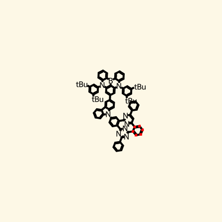 CC(C)(C)c1cc(N2c3ccccc3B3c4ccccc4N(c4cc(C(C)(C)C)cc(C(C)(C)C)c4)c4cc(-c5ccc6c(c5)c5ccccc5n6-c5ccc(-c6nc(-c7ccccc7)nc(-c7ccccc7)n6)c(-c6nc(-c7ccccc7)cc(-c7ccccc7)n6)c5)cc2c43)cc(C(C)(C)C)c1